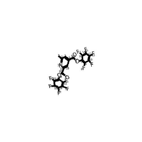 Cc1cc(C(=O)Oc2c(F)c(F)c(F)c(F)c2F)cc(C(=O)Oc2c(F)c(F)c(F)c(F)c2F)n1